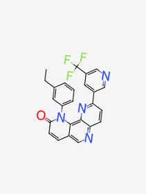 CCc1cccc(-n2c(=O)ccc3cnc4ccc(-c5cncc(C(F)(F)F)c5)nc4c32)c1